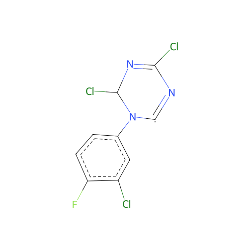 Fc1ccc(N2[C]=NC(Cl)=NC2Cl)cc1Cl